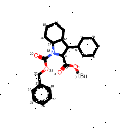 CC(C)(C)OC(=O)C1C(C2CCCCC2)C2CCCCC2N1C(=O)OCc1ccccc1